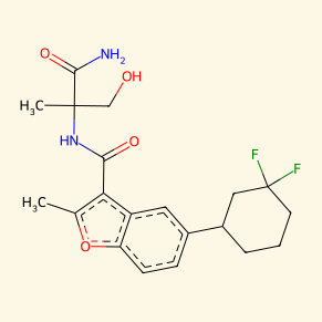 Cc1oc2ccc(C3CCCC(F)(F)C3)cc2c1C(=O)NC(C)(CO)C(N)=O